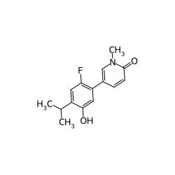 CC(C)c1cc(F)c(-c2ccc(=O)n(C)c2)cc1O